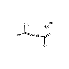 CNC(O)=S.NC(O)=S.O.[KH]